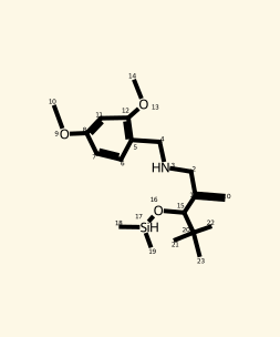 C=C(CNCc1ccc(OC)cc1OC)C(O[SiH](C)C)C(C)(C)C